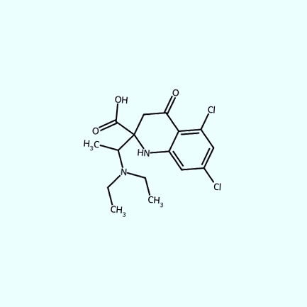 CCN(CC)C(C)C1(C(=O)O)CC(=O)c2c(Cl)cc(Cl)cc2N1